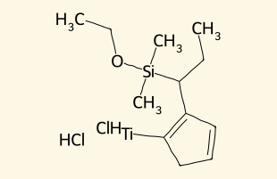 CCO[Si](C)(C)C(CC)C1=[C]([Ti])CC=C1.Cl.Cl